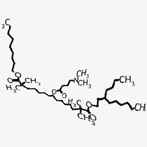 CCCCCCCCCOC(=O)C(C)(C)CCCCCC(CCCCCC(C)(C)C(=O)OCCC(CCCC)CCCCCC)OC(=O)CCCN(C)C